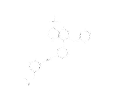 O=[SH](=O)Cc1cncc(C#Cc2cccc(-c3c(Cc4ccccc4)cnc4c(C(F)(F)F)cccc34)c2)c1